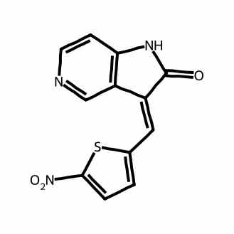 O=C1Nc2ccncc2C1=Cc1ccc([N+](=O)[O-])s1